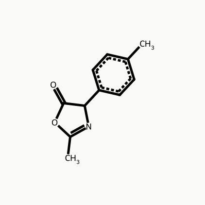 CC1=NC(c2ccc(C)cc2)C(=O)O1